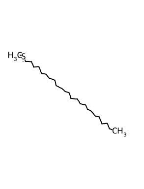 CCCCCCCCCCCCCCCCCCCCCCC[CH]SC